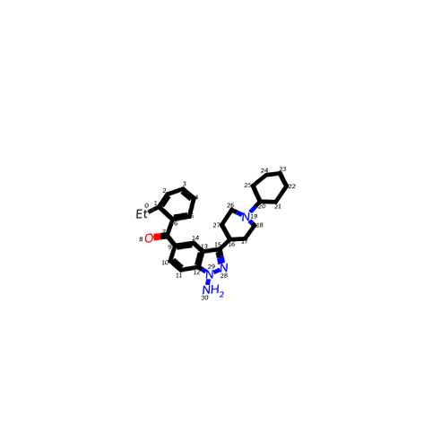 CCc1ccccc1C(=O)c1ccc2c(c1)c(C1CCN(C3CCCCC3)CC1)nn2N